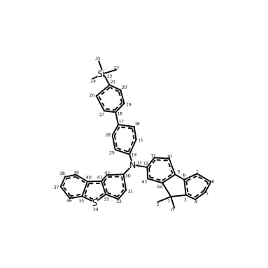 CC1(C)c2ccccc2-c2ccc(N(c3ccc(-c4ccc([Si](C)(C)C)cc4)cc3)c3ccc4sc5ccccc5c4c3)cc21